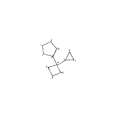 C1CC[C](C2(C3CC3)CCC2)C1